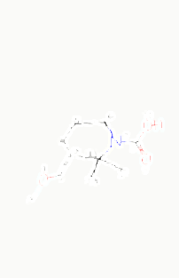 COC=C1CCCN(C(=O)O)C1(C)C